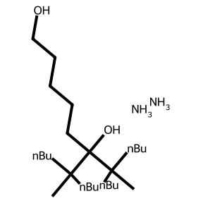 CCCCC(C)(CCCC)C(O)(CCCCCO)C(C)(CCCC)CCCC.N.N